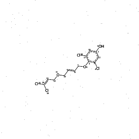 Oc1cc(Cl)c(OCC=CCOCC=C(Cl)Cl)c(Cl)c1